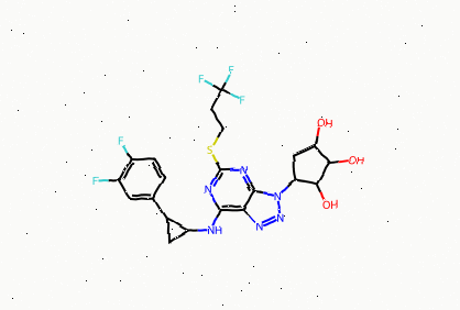 OC1CC(n2nnc3c(NC4CC4c4ccc(F)c(F)c4)nc(SCCC(F)(F)F)nc32)C(O)C1O